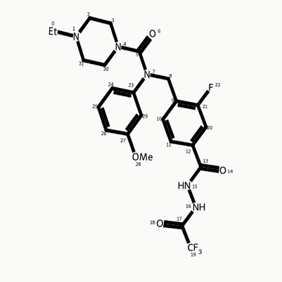 CCN1CCN(C(=O)N(Cc2ccc(C(=O)NNC(=O)C(F)(F)F)cc2F)c2cccc(OC)c2)CC1